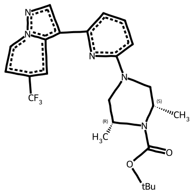 C[C@@H]1CN(c2cccc(-c3cnn4ccc(C(F)(F)F)cc34)n2)C[C@H](C)N1C(=O)OC(C)(C)C